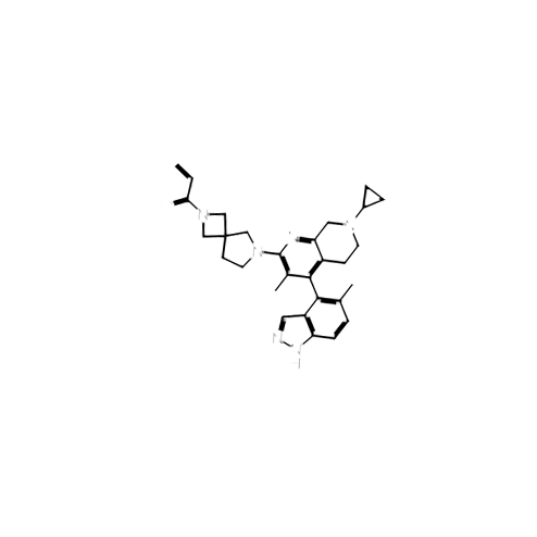 C=CC(=O)N1CC2(CCN(c3nc4c(c(-c5c(C)ccc6[nH]ncc56)c3C)CCN(C3CC3)C4)C2)C1